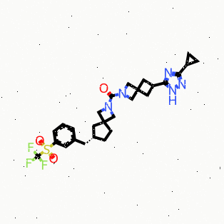 O=C(N1CC2(CC(c3nc(C4CC4)n[nH]3)C2)C1)N1CC2(CC[C@H](Cc3cccc(S(=O)(=O)C(F)(F)F)c3)C2)C1